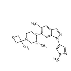 Cc1cc2cnn(-c3cnn(C)c3)c2cc1[C@H]1CCN(C2(C)COC2)C[C@H]1C